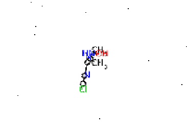 Cc1cc(N[C@H](C)CO)nc2ccc(C#Cc3ccc(-c4ccc(Cl)cc4)cn3)cc12